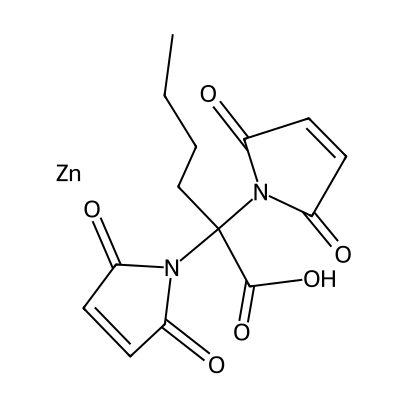 CCCCC(C(=O)O)(N1C(=O)C=CC1=O)N1C(=O)C=CC1=O.[Zn]